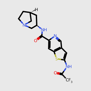 O=C(N[C@@H]1C[C@@H]2CCN(C2)C1)c1cc2sc(NC(=O)C(F)(F)F)cc2cn1